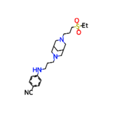 CCS(=O)(=O)CCCN1CC2CC(CN(CCCNc3ccc(C#N)cc3)C2)C1